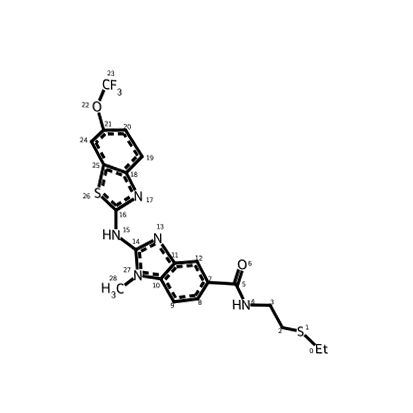 CCSCCNC(=O)c1ccc2c(c1)nc(Nc1nc3ccc(OC(F)(F)F)cc3s1)n2C